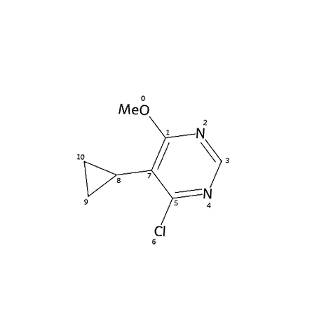 COc1ncnc(Cl)c1C1CC1